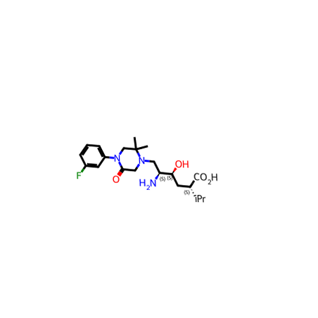 CC(C)[C@H](C[C@H](O)[C@@H](N)CN1CC(=O)N(c2cccc(F)c2)CC1(C)C)C(=O)O